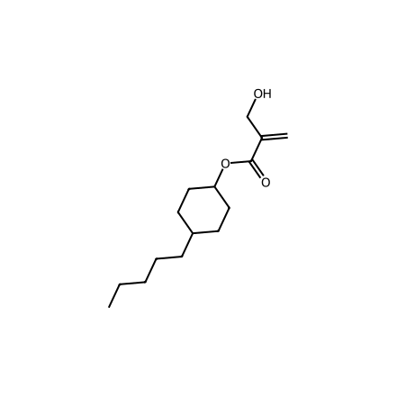 C=C(CO)C(=O)OC1CCC(CCCCC)CC1